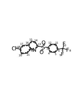 O=S(=O)(c1ccc(C(F)(F)F)cc1)c1ccc2cc(Cl)ccc2n1